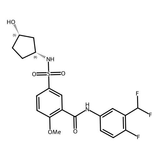 COc1ccc(S(=O)(=O)N[C@@H]2CC[C@H](O)C2)cc1C(=O)Nc1ccc(F)c(C(F)F)c1